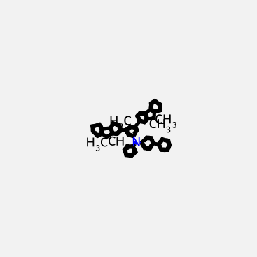 Cc1c(-c2ccc3c(c2)C(C)(C)c2ccccc2-3)cc(N(c2ccccc2)c2ccc(-c3ccccc3)cc2)cc1-c1ccc2c(c1)C(C)(C)c1ccccc1-2